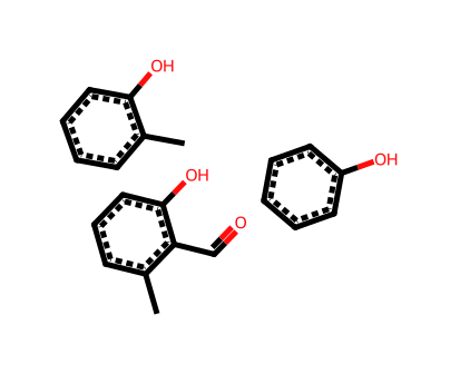 Cc1cccc(O)c1C=O.Cc1ccccc1O.Oc1ccccc1